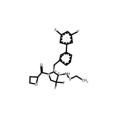 CCSN[C@@H]1[C@H](Cc2cccc(-c3cc(F)cc(F)c3)c2)N(C(=O)C2CCO2)CC1(F)F